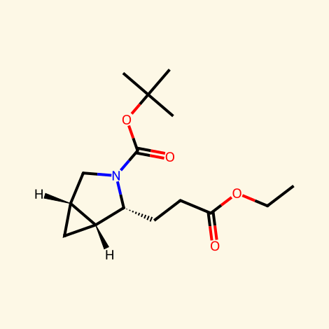 CCOC(=O)CC[C@@H]1[C@@H]2C[C@@H]2CN1C(=O)OC(C)(C)C